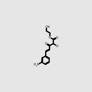 N#CCCOC(=O)C(Cl)C(=O)C=Cc1cccc([N+](=O)[O-])c1